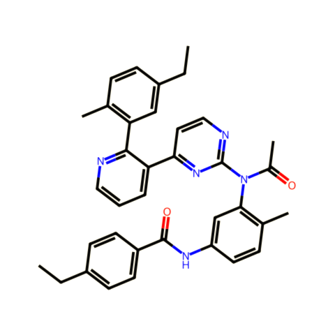 CCc1ccc(C(=O)Nc2ccc(C)c(N(C(C)=O)c3nccc(-c4cccnc4-c4cc(CC)ccc4C)n3)c2)cc1